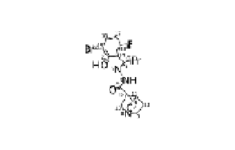 CC(C)/C(=N\NC(=O)C1CN2CCC1CC2)c1c(F)ccc(Br)c1O